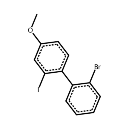 COc1ccc(-c2ccccc2Br)c(I)c1